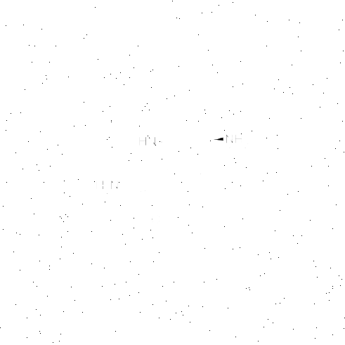 NC(=O)C1C[C@H](N)CN1